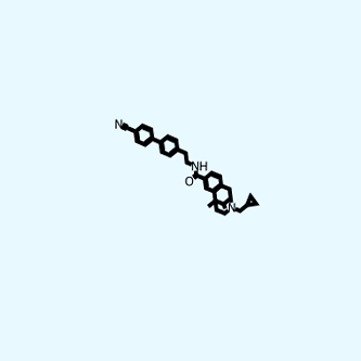 CC1C2Cc3ccc(C(=O)NCCc4ccc(-c5ccc(C#N)cc5)cc4)cc3C1(C)CCN2CC1CC1